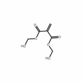 C=C(C(=O)OCO)C(=O)OCO